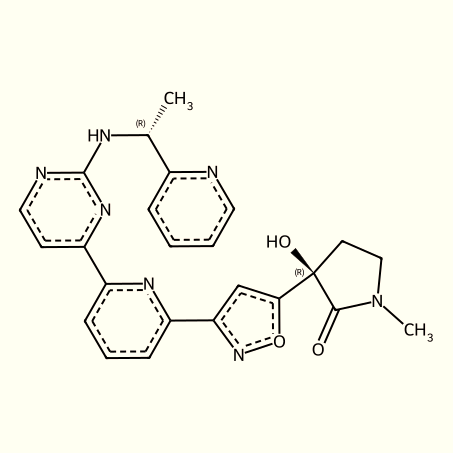 C[C@@H](Nc1nccc(-c2cccc(-c3cc([C@]4(O)CCN(C)C4=O)on3)n2)n1)c1ccccn1